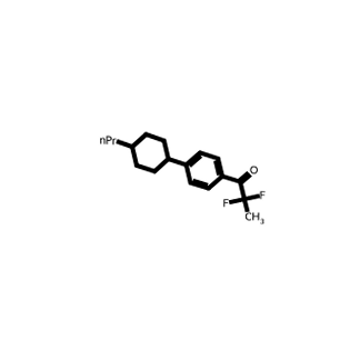 CCCC1CCC(c2ccc(C(=O)C(C)(F)F)cc2)CC1